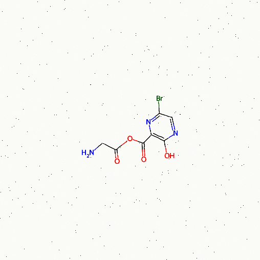 NCC(=O)OC(=O)c1nc(Br)cnc1O